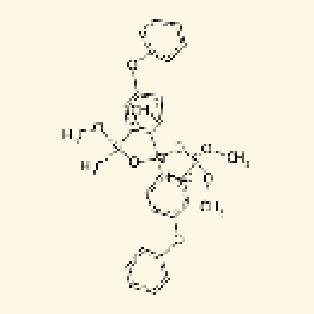 CO[Si](C)(OC)O[Si](O[Si](C)(OC)OC)(c1ccc(Oc2ccccc2)cc1)c1ccc(Oc2ccccc2)cc1